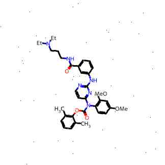 CCN(CC)CCCNC(=O)c1cccc(Nc2nccc(N(C(=O)Oc3c(C)cccc3C)c3ccc(OC)cc3OC)n2)c1